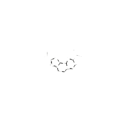 CC(C)c1ccc2ccc3nc(C(C)C)[nH]c3c2n1